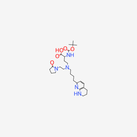 CC(C)(C)OC(=O)NC(CCN(CCCCc1ccc2c(n1)NCCC2)CCN1CCCC1=O)C(=O)O